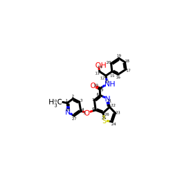 Cc1ccc(Oc2cc(C(=O)NC(CO)c3ccccc3)nc3ccsc23)cn1